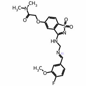 COc1cc(/C=N/CNC2=NS(=O)(=O)c3ccc(OCC(=O)N(C)C)cc32)ccc1F